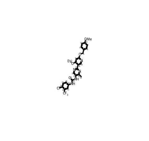 CCOc1cc(OCc2ccc(OC)cc2)ncc1-c1ncc(NC(=O)Nc2ccc(Cl)c(C(F)(F)F)c2)c(C)n1